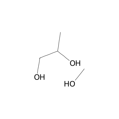 CC(O)CO.CO